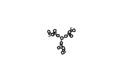 c1ccc2c(c1)sc1ccc3c(c4ccccc4n3-c3ccc(-c4cc(-c5ccc(-n6c7ccccc7c7c8c(ccc76)sc6ccccc68)cc5)cc(-c5ccc(-n6c7ccccc7c7c8c(ccc76)sc6ccccc68)cc5)c4)cc3)c12